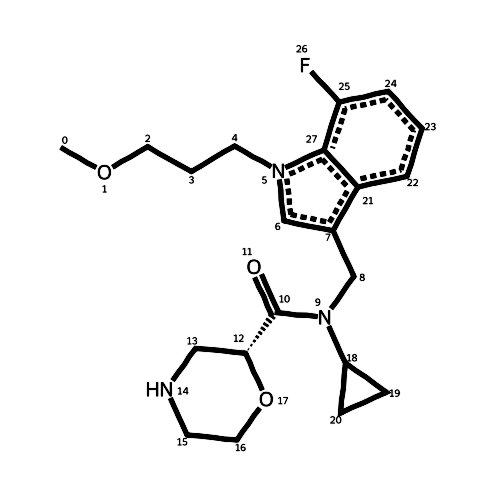 COCCCn1cc(CN(C(=O)[C@H]2CNCCO2)C2CC2)c2cccc(F)c21